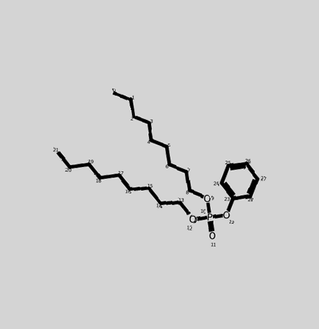 CCCCCCCCCOP(=O)(OCCCCCCCCC)Oc1ccccc1